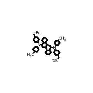 Cc1ccc(N(c2ccc(CC(C)(C)C)cc2)c2cc3c4ccccc4c(N(c4ccc(C)cc4)c4ccc(CC(C)(C)C)cc4)cc3c3ccccc23)cc1